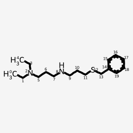 CCN(CC)CCCNCCCSCc1ccccc1